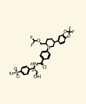 CCS(=O)(=O)c1ccc([C@H](CO)NC(=O)c2ccc(N3CC(c4ccc5c(c4)OC(F)(F)O5)CCC3COC(F)F)cc2)cc1